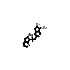 CC(C)(C)C1Cc2cc(CC(C)(C)C3c4ncccc4CC3C(C)(C)C)ncc2C1C(C)(C)C